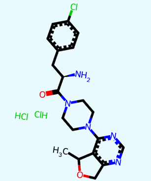 CC1OCc2ncnc(N3CCN(C(=O)[C@H](N)Cc4ccc(Cl)cc4)CC3)c21.Cl.Cl